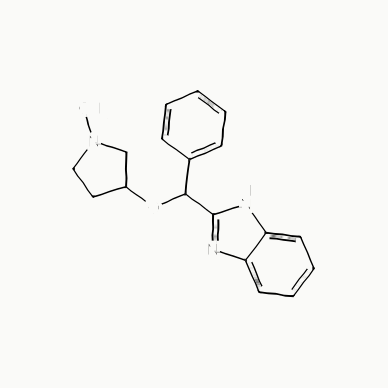 CN1CCC(OC(c2ccccc2)c2nc3ccccc3[nH]2)C1